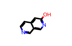 Oc1cc2ccncc2cn1